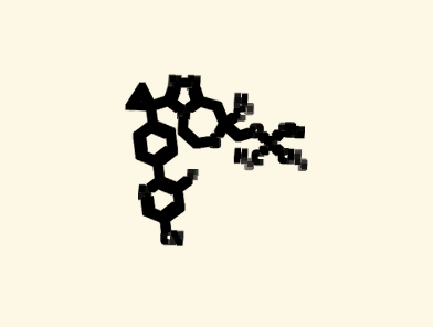 CC1(CO[Si](C)(C)C(C)(C)C)Cc2nnc(C3(c4ccc(-c5ncc(C#N)cc5F)cc4)CC3)n2CCS1